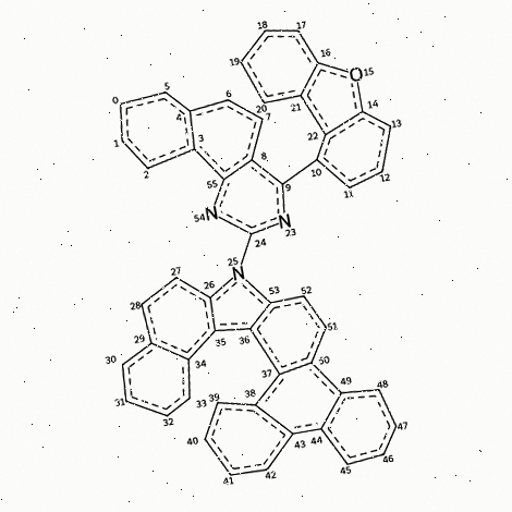 c1ccc2c(c1)ccc1c(-c3cccc4oc5ccccc5c34)nc(-n3c4ccc5ccccc5c4c4c5c6ccccc6c6ccccc6c5ccc43)nc12